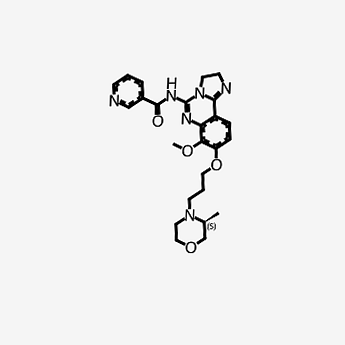 COc1c(OCCCN2CCOC[C@@H]2C)ccc2c1N=C(NC(=O)c1cccnc1)N1CCN=C21